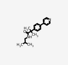 CC(C)CNC(=O)C(C)(C)c1ccc(-c2ccncc2)cc1